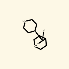 C1CN([C@H]2CN3CCC2CC3)CCN1